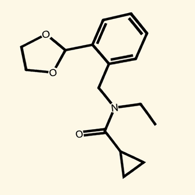 CCN(Cc1ccccc1C1OCCO1)C(=O)C1CC1